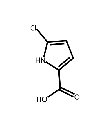 O=C(O)c1ccc(Cl)[nH]1